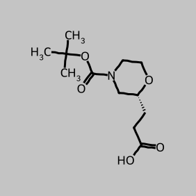 CC(C)(C)OC(=O)N1CCO[C@H](CCC(=O)O)C1